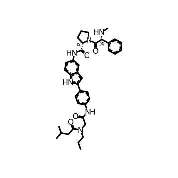 CCCN(CC(=O)Nc1ccc(-c2cc3cc(NC(=O)[C@@H]4CCCN4C(=O)[C@H](NC)c4ccccc4)ccc3[nH]2)cc1)C(=O)CC(C)C